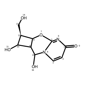 O=c1ccn2c(n1)OC1C(C(O)[C@H]1CO)C2O